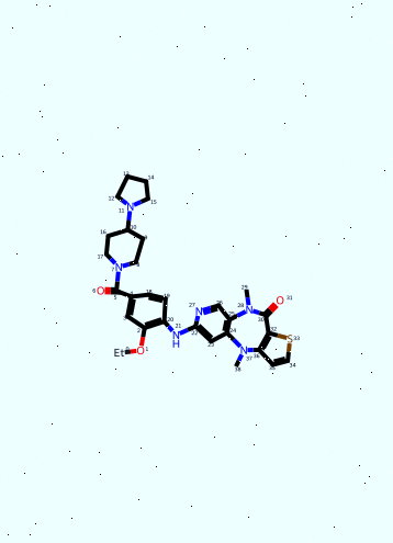 CCOc1cc(C(=O)N2CCC(N3CCCC3)CC2)ccc1Nc1cc2c(cn1)N(C)C(=O)c1sccc1N2C